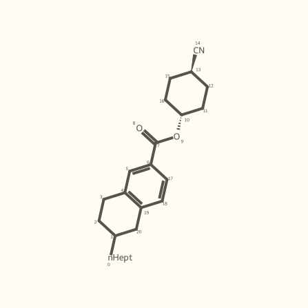 CCCCCCCC1CCc2cc(C(=O)O[C@H]3CC[C@H](C#N)CC3)ccc2C1